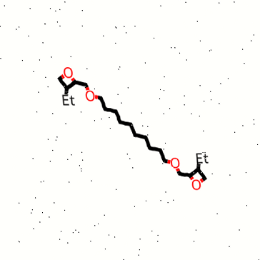 CCC1COC1COCCCCCCCCCCOCC1OCC1CC